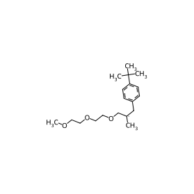 COCCOCCOC[C](C)Cc1ccc(C(C)(C)C)cc1